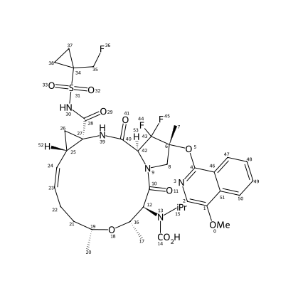 COc1cnc(O[C@]2(C)CN3C(=O)[C@@H](N(C(=O)O)C(C)C)[C@H](C)O[C@H](C)CC/C=C\[C@@H]4C[C@@]4(C(=O)NS(=O)(=O)C4(CF)CC4)NC(=O)[C@H]3C2(F)F)c2ccccc12